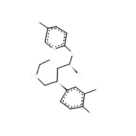 C[C@H](Oc1ccc(Cl)cn1)[C@H]1CCNC[C@@H]1c1ccc(F)c(F)c1